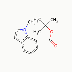 CC(C)(C)OC=O.Cn1ccc2ccccc21